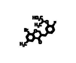 Cc1cc(Br)c2c(c1)C(=O)C(=Cc1ccc(F)c(OC(C)C(=O)O)c1)CO2